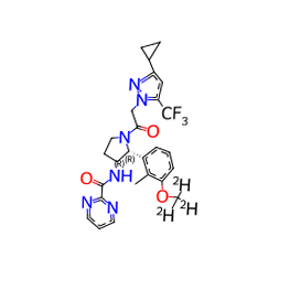 [2H]C([2H])([2H])Oc1cccc([C@@H]2[C@H](NC(=O)c3ncccn3)CCN2C(=O)Cn2nc(C3CC3)cc2C(F)(F)F)c1C